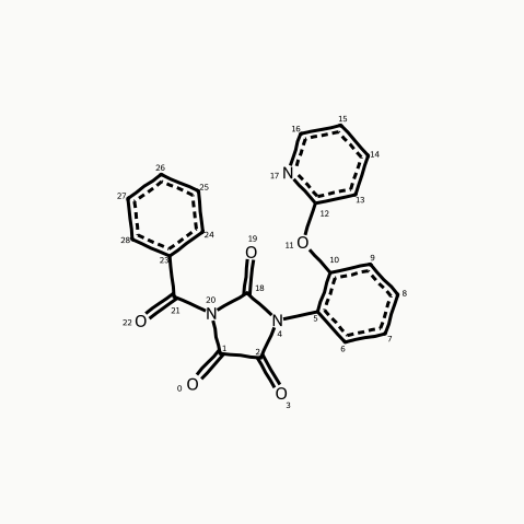 O=C1C(=O)N(c2ccccc2Oc2ccccn2)C(=O)N1C(=O)c1ccccc1